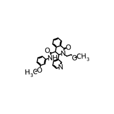 COCCN1C(=O)c2ccccc2C(C(=O)Nc2cccc(OC)c2)C1c1cccnc1